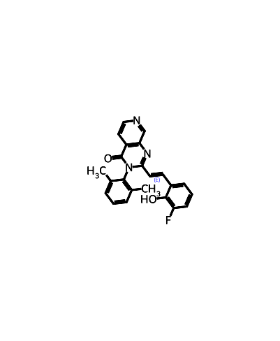 Cc1cccc(C)c1-n1c(/C=C/c2cccc(F)c2O)nc2cnccc2c1=O